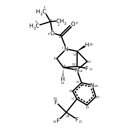 CC(C)(C)OC(=O)N1C[C@H]2C(F)[C@H]1CN2c1cc(C(F)(F)F)ccn1